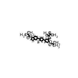 C=C(C)C(=O)Oc1ccc(-c2ccc(-c3ccc4c(c3)CCC4OC(=O)C(=C)C)c(F)c2)cc1OC(=O)C(=C)C